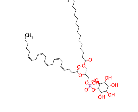 CCCCC/C=C\C/C=C\C/C=C\C/C=C\C/C=C\CCC(=O)O[C@H](COC(=O)CCCCCCCCCCCCCCC)COP(=O)(O)OC1C(O)C(O)C(O)[C@@H](O)C1O